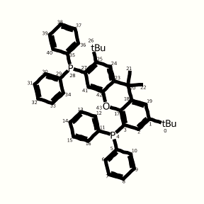 CC(C)(C)c1cc(P(c2ccccc2)c2ccccc2)c2c(c1)C(C)(C)c1cc(C(C)(C)C)c(P(c3ccccc3)c3ccccc3)cc1O2